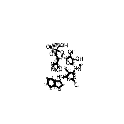 C=NN(c1nc(Cl)nc(N[C@@H]2CCc3ccccc32)c1C)[C@@H]1O[C@H](CO[C@](CO)(CCc2nn[nH]n2)P(=O)(O)O)[C@@H](O)[C@H]1O